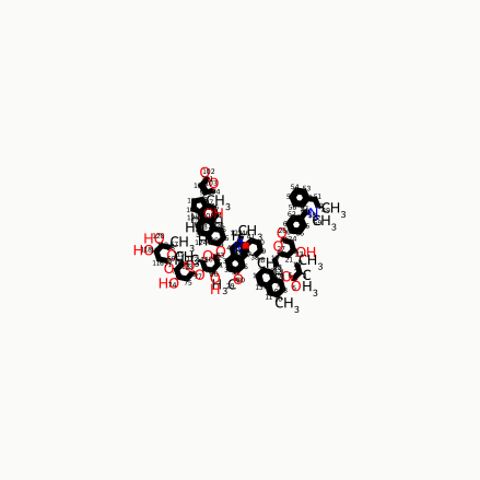 CC[C@H](C)C(=O)O[C@H]1C[C@@H](C)C=C2C=C[C@H](C)[C@H](CC[C@@H]3C[C@@H](O)CC(=O)O3)[C@H]21.COc1ccc2c(c1)[C@]13CCCC[C@@H]1[C@H](C2)N(C)CC3.C[C@@H](Cc1ccccc1)N(C)Cc1ccccc1.C[C@H]1O[C@@H](O[C@H]2[C@@H](O)C[C@H](O[C@H]3[C@@H](O)C[C@H](O[C@H]4CC[C@@]5(C)[C@H](CC[C@@H]6[C@@H]5CC[C@]5(C)[C@@H](C7=CC(=O)OC7)CC[C@]65O)C4)O[C@@H]3C)O[C@@H]2C)C[C@H](O)[C@@H]1O